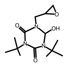 CC(C)(C)N1C(=O)N(CC2CO2)C(O)N(C(C)(C)C)C1=O